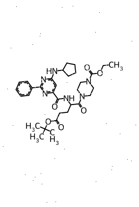 CCOC(=O)N1CCN(C(=O)C(CCC(=O)OC(C)(C)C)NC(=O)c2cc(NC3CCCC3)nc(-c3ccccc3)n2)CC1